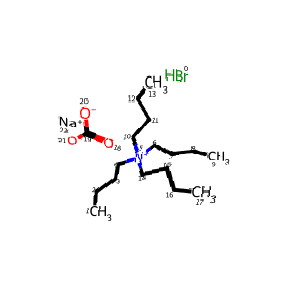 Br.CCCC[N+](CCCC)(CCCC)CCCC.O=C([O-])[O-].[Na+]